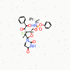 CC(C)[C@H](C)NP(=O)(OC[C@H]1O[C@@H](n2ccc(=O)[nH]c2=O)[C@](C)(F)[C@@H]1C(=O)C(=O)c1ccccc1)Oc1ccccc1